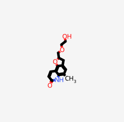 Cc1cc2c(c3ccc(=O)[nH]c13)OC(COCCO)C2